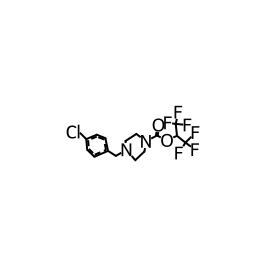 O=C(OC(C(F)(F)F)C(F)(F)F)N1CCN(Cc2ccc(Cl)cc2)CC1